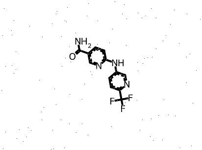 NC(=O)c1ccc(Nc2ccc(C(F)(F)F)nc2)nc1